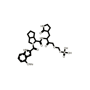 COc1cccc2[nH]c(C(=O)N3CC4CCCC4C3C(=O)NC(CC3CCNC3=O)C(=O)COCOP(=O)(O)O)cc12